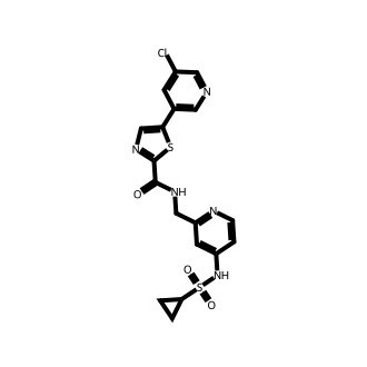 O=C(NCc1cc(NS(=O)(=O)C2CC2)ccn1)c1ncc(-c2cncc(Cl)c2)s1